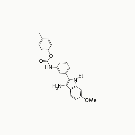 CCn1c(-c2cccc(NC(=O)Oc3ccc(C)cc3)c2)c(N)c2ccc(OC)cc21